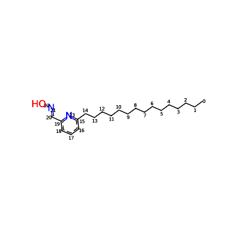 CCCCCCCCCCCCCCCc1cccc(C=NO)n1